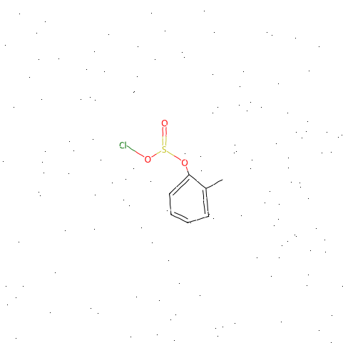 Cc1ccccc1OS(=O)OCl